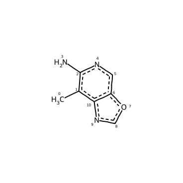 Cc1c(N)ncc2ocnc12